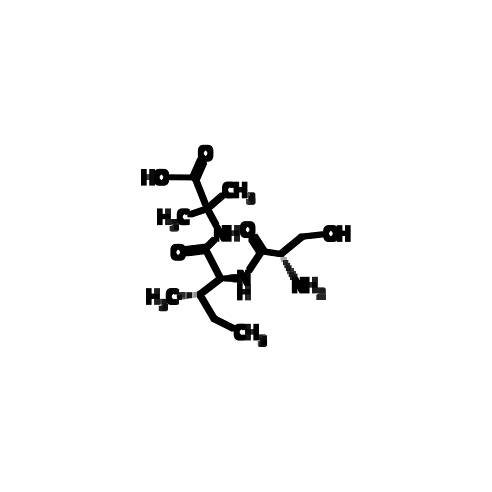 CC[C@H](C)[C@H](NC(=O)[C@@H](N)CO)C(=O)NC(C)(C)C(=O)O